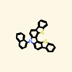 c1ccc2c(-n3c4ccc5c6ccccc6sc5c4c4c5sc6ccccc6c5ccc43)cccc2c1